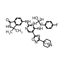 [2H]C([2H])(O)[C@@H](Nc1nc(Nc2ccc3c(c2)C(C)(C)NC3=O)ncc1-c1nc(C23CCN(CC2)CC3)no1)c1ccc(F)cc1